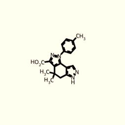 Cc1ccc(-n2nc(C(=O)O)c3c2-c2cn[nH]c2CC3(C)C)cc1